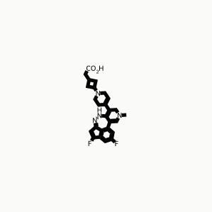 CN1C=C2C(=C(C3=CCN(C4CC(CC(=O)O)C4)CC3)C1)NN=C1C=C(F)c3cc(F)cc2c31